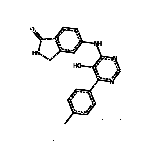 Cc1ccc(-c2ncnc(Nc3ccc4c(c3)CNC4=O)c2O)cc1